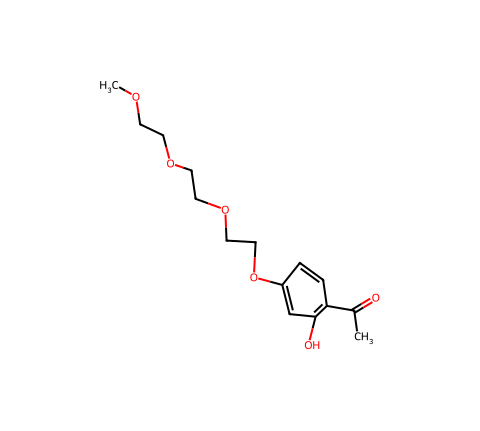 COCCOCCOCCOc1ccc(C(C)=O)c(O)c1